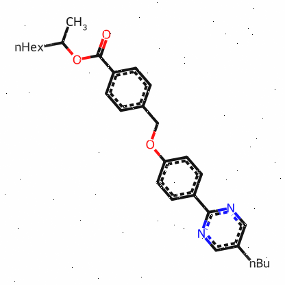 CCCCCCC(C)OC(=O)c1ccc(COc2ccc(-c3ncc(CCCC)cn3)cc2)cc1